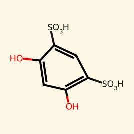 O=S(=O)(O)c1cc(S(=O)(=O)O)c(O)cc1O